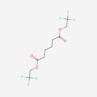 O=C(CCCCC(=O)OCC(F)(F)F)OCC(F)(F)F